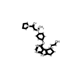 CN(CC(=O)N1CCCC1)[C@H]1CC[C@H](Oc2ncnc3sc4c(c23)[C@@H](CCO)CC4)CC1